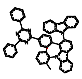 Cc1cccc(C)c1-n1c2ccccc2c2ccc(-n3c4ccccc4c4ccccc43)c(-c3ccc(-c4nc(-c5ccccc5)nc(-c5ccccc5)n4)cc3)c21